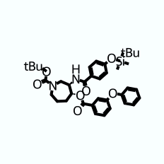 CC(C)(C)OC(=O)N1CCC[C@@H](OC(=O)c2cccc(Oc3ccccc3)c2)[C@H](NC(=O)c2ccc(O[Si](C)(C)C(C)(C)C)cc2)C1